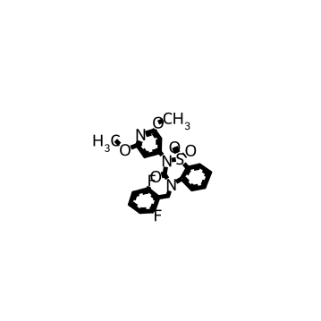 COc1cc(N2C(=O)N(Cc3c(F)cccc3F)c3ccccc3S2(=O)=O)cc(OC)n1